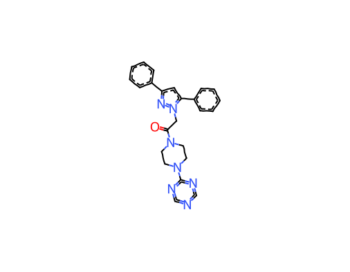 O=C(Cn1nc(-c2ccccc2)cc1-c1ccccc1)N1CCN(c2ncncn2)CC1